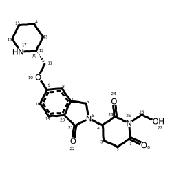 O=C1CCC(N2Cc3cc(OC[C@H]4CCCCN4)ccc3C2=O)C(=O)N1CO